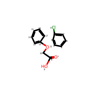 Clc1ccccc1.O=C(O)COc1ccccc1